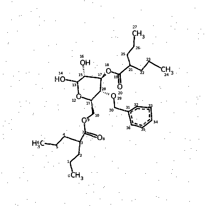 CCCC(CCC)C(=O)OC[C@H]1OC(O)[C@H](O)[C@@H](OC(=O)C(CCC)CCC)[C@@H]1OCc1ccccc1